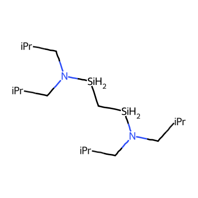 CC(C)CN(CC(C)C)[SiH2]C[SiH2]N(CC(C)C)CC(C)C